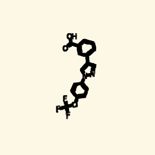 O=C(O)c1cccc(-c2cnn(-c3ccc(OC(F)(F)F)cc3)c2)c1